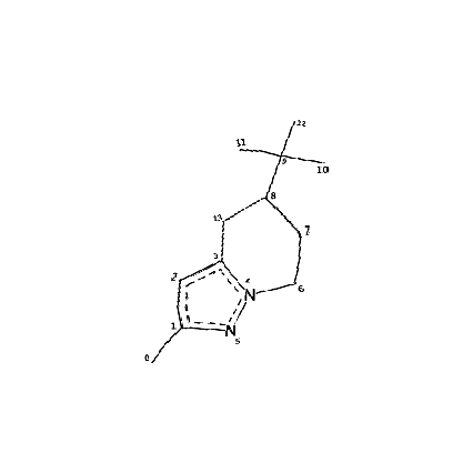 Cc1cc2n(n1)CCC(C(C)(C)C)C2